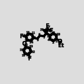 CCOc1ccc(C2(CCCc3ccc(F)c(Oc4ccc(F)cc4)c3)CC2(F)F)cc1